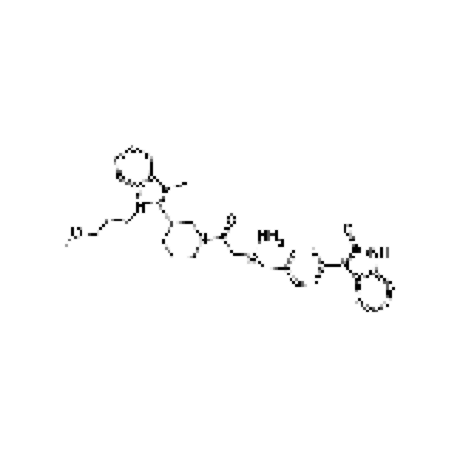 COCCCn1c(C2CCCN(C(=O)C[C@H](N)Cc3ccc(-n4c(=O)[nH]c5ncccc54)cc3)C2)c(C)c2ccccc21